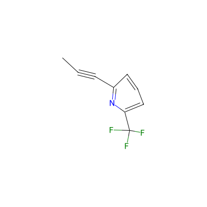 CC#Cc1cccc(C(F)(F)F)n1